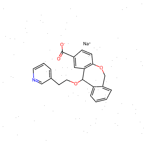 O=C([O-])c1ccc2c(c1)C(OCCc1cccnc1)c1ccccc1CO2.[Na+]